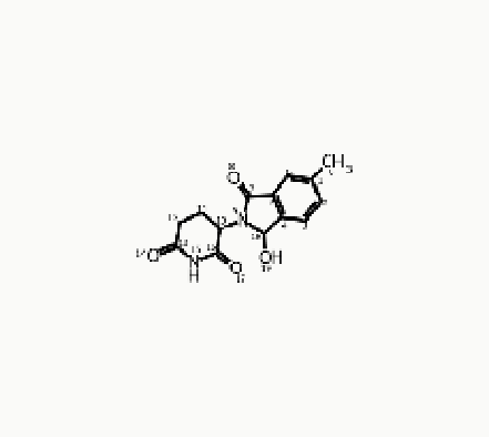 Cc1ccc2c(c1)C(=O)N([C@@H]1CCC(=O)NC1=O)C2O